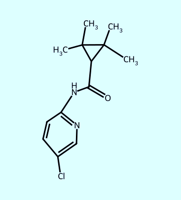 CC1(C)C(C(=O)Nc2ccc(Cl)cn2)C1(C)C